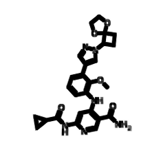 COc1c(Nc2cc(NC(=O)C3CC3)ncc2C(N)=O)cccc1-c1cnn(C2CCC23OCCO3)c1